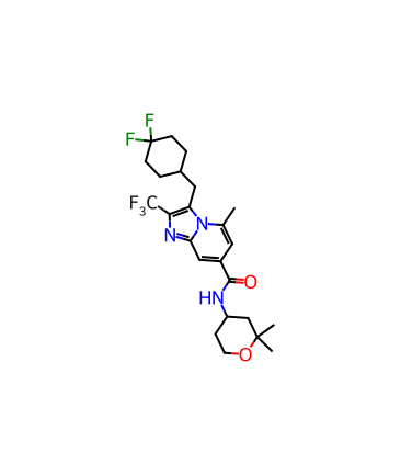 Cc1cc(C(=O)NC2CCOC(C)(C)C2)cc2nc(C(F)(F)F)c(CC3CCC(F)(F)CC3)n12